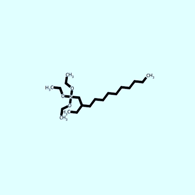 CCCCCCCCCCC(CC)CS(OCC)(OCC)OCC